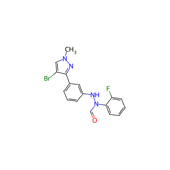 Cn1cc(Br)c(-c2cccc(NN(C=O)c3ccccc3F)c2)n1